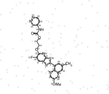 COc1cnc2c(-c3nc4cc(F)c(OCCOC(=O)Nc5ccnnc5)nc4s3)cc(C)cc2n1